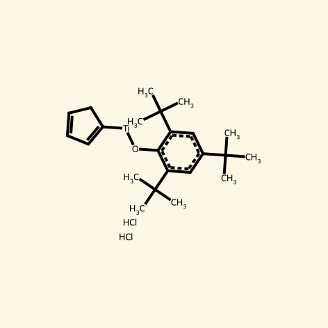 CC(C)(C)c1cc(C(C)(C)C)c([O][Ti][C]2=CC=CC2)c(C(C)(C)C)c1.Cl.Cl